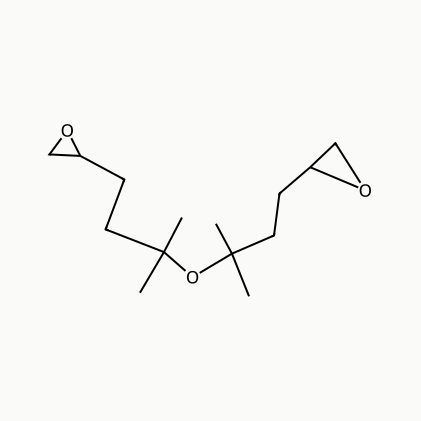 CC(C)(CCC1CO1)OC(C)(C)CCC1CO1